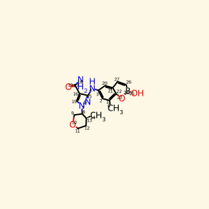 Cc1cc(Nc2nn(C3COCC[C@@H]3C)cc2C(N)=O)cc2c1OB(O)C=C2